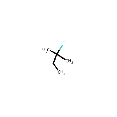 [CH2]C(C)(F)CC